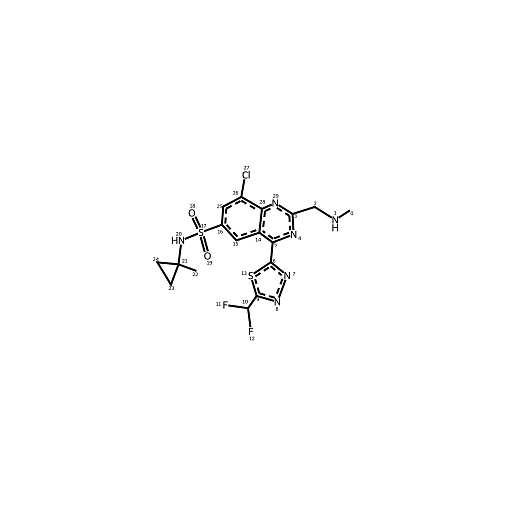 CNCc1nc(-c2nnc(C(F)F)s2)c2cc(S(=O)(=O)NC3(C)CC3)cc(Cl)c2n1